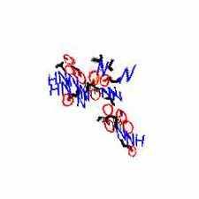 CC[C@H]1O[C@@H](n2ccc(=O)[nH]c2=O)[C@@H](OC)C1OCc1cn(C[C@H]2O[C@@H](n3cnc4c(=O)[nH]c(NC(=O)C(C)C)nc43)[C@@H](OCCOC)C2OP(OCCC#N)N(C(C)C)C(C)C)nn1